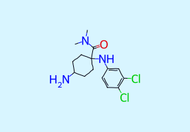 CN(C)C(=O)C1(Nc2ccc(Cl)c(Cl)c2)CCC(N)CC1